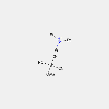 CC[NH+](CC)CC.CO[B-](C#N)(C#N)C#N